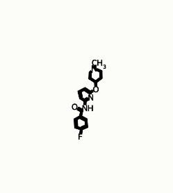 CN1CCC(Oc2cccc(NC(=O)c3ccc(F)cc3)n2)CC1